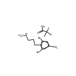 CNCCOc1c(Br)cc(C)cc1Br.O=C(O)C(F)(F)F